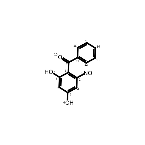 O=Nc1cc(O)cc(O)c1C(=O)c1ccccc1